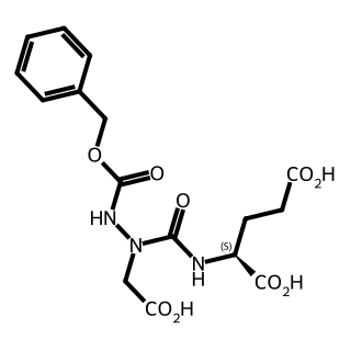 O=C(O)CC[C@H](NC(=O)N(CC(=O)O)NC(=O)OCc1ccccc1)C(=O)O